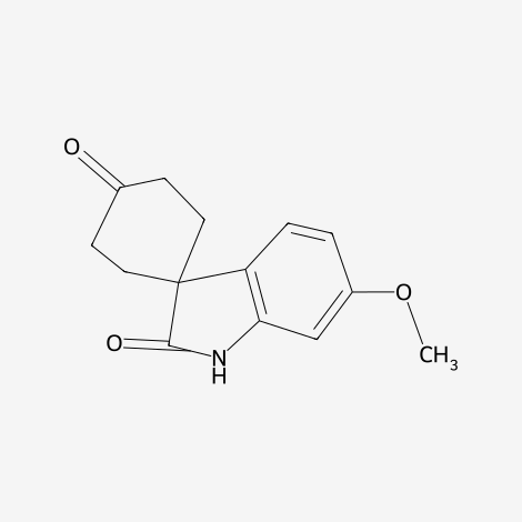 COc1ccc2c(c1)NC(=O)C21CCC(=O)CC1